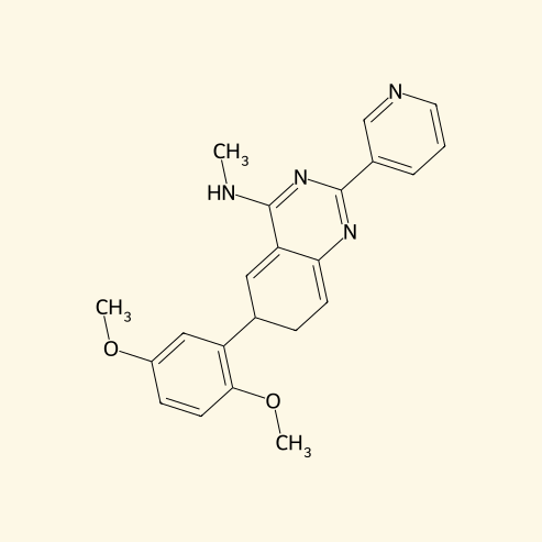 CNc1nc(-c2cccnc2)nc2c1=CC(c1cc(OC)ccc1OC)CC=2